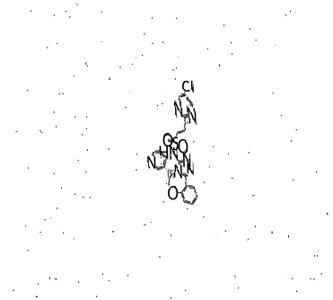 O=S(=O)(CCc1ncc(Cl)cn1)Nc1nnc2n1[C@@H](c1cccnc1)COc1ccccc1-2